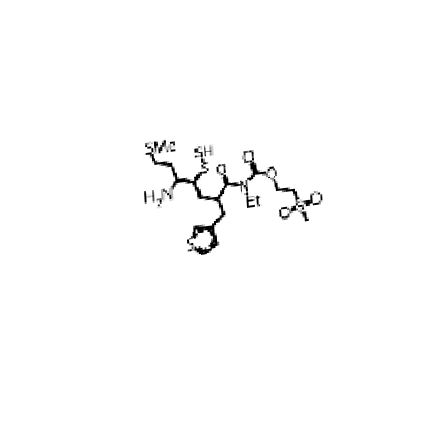 CCN(C(=O)OCCS(C)(=O)=O)C(=O)C(Cc1ccsc1)CC(SS)C(N)CCSC